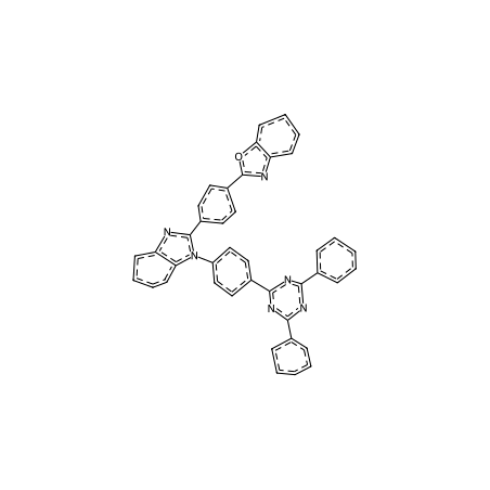 c1ccc(-c2nc(-c3ccccc3)nc(-c3ccc(-n4c(-c5ccc(-c6nc7ccccc7o6)cc5)nc5ccccc54)cc3)n2)cc1